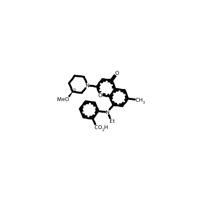 CCN(c1ccccc1C(=O)O)c1cc(C)cc2c(=O)cc(N3CCC[C@H](OC)C3)oc12